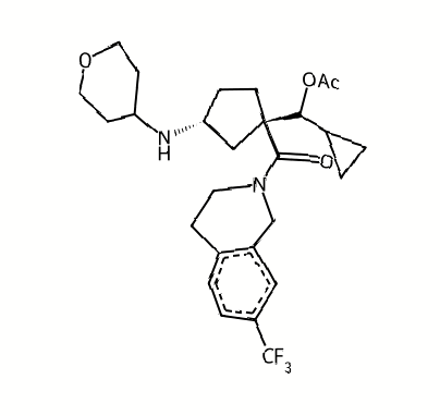 CC(=O)OC(C1CC1)[C@]1(C(=O)N2CCc3ccc(C(F)(F)F)cc3C2)CC[C@@H](NC2CCOCC2)C1